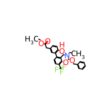 CCOC(=O)Cc1ccc(O)c(-c2ccc(C(F)(F)F)cc2CN(CC)C(=O)OCc2ccccc2)c1